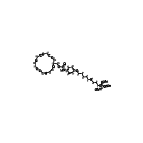 CO[Si](CCCSCCCCCOc1ccc(NC(=O)OCC2COCCOCCOCCOCCOCCO2)cc1)(OC)OC